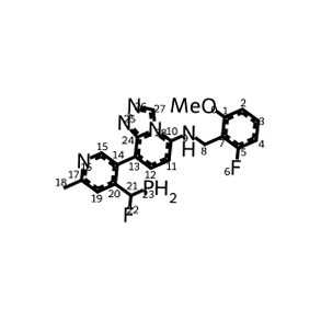 COc1cccc(F)c1CNc1ccc(-c2cnc(C)cc2C(F)P)c2nncn12